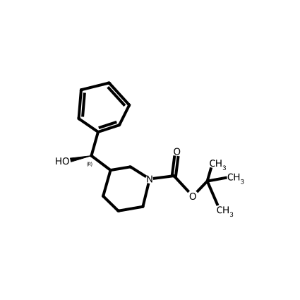 CC(C)(C)OC(=O)N1CCCC([C@@H](O)c2ccccc2)C1